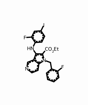 CCOC(=O)c1c(Nc2ccc(I)cc2F)c2cnccc2n1Cc1ccccc1F